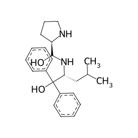 CC(C)C[C@@H](NC(O)[C@H]1CCCN1)C(O)(c1ccccc1)c1ccccc1